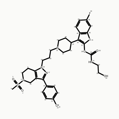 CS(=O)(=O)N1CCc2c(c(-c3ccc(C(F)(F)F)cc3)nn2CCCN2CCC(c3c(OC(=O)NCCO)sc4cc(F)ccc34)CC2)C1